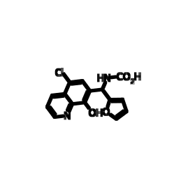 O=C(O)NC(c1ccco1)c1cc(Cl)c2cccnc2c1O